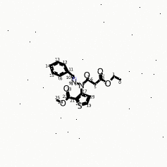 CCOC(=O)CC(=O)N(/N=C/c1ccccc1)c1ccsc1C(=O)OC